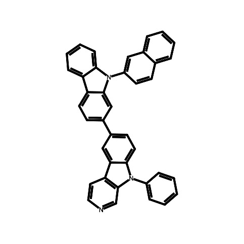 c1ccc(-n2c3ccc(-c4ccc5c6ccccc6n(-c6ccc7ccccc7c6)c5c4)cc3c3ccncc32)cc1